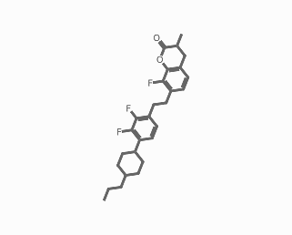 CCCC1CCC(c2ccc(CCc3ccc4c(c3F)OC(=O)C(C)C4)c(F)c2F)CC1